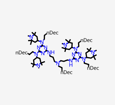 CCCCCCCCCCCCN(CCCNc1nc(N(CCCCCCCCCCCC)C2CC(C)(C)N(C)C(C)(C)C2)nc(N(CCCCCCCCCCCC)C2CC(C)(C)N(C)C(C)(C)C2)n1)CCCNc1nc(N(CCCCCCCCCCCC)C2CC(C)(C)N(C)C(C)(C)C2)nc(N(CCCCCCCCCCCC)C2CC(C)(C)N(C)C(C)(C)C2)n1